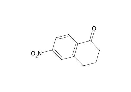 O=C1CCCc2cc([N+](=O)[O-])ccc21